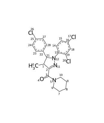 CC1C(C(=O)N2CCCCC2)=NN(c2ccc(Cl)cc2Cl)C1c1ccc(Cl)cc1